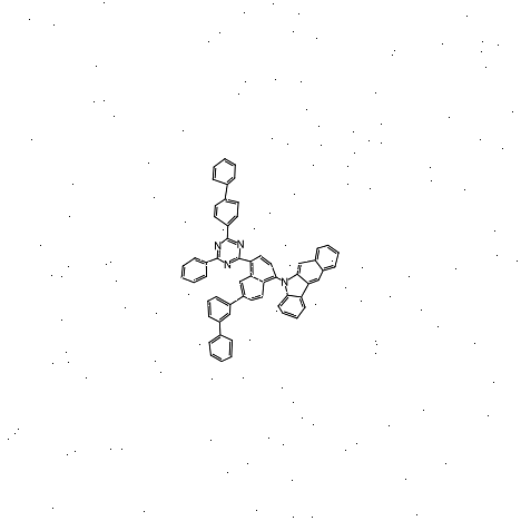 c1ccc(-c2ccc(-c3nc(-c4ccccc4)nc(-c4ccc(-n5c6ccccc6c6cc7ccccc7cc65)c5ccc(-c6cccc(-c7ccccc7)c6)cc45)n3)cc2)cc1